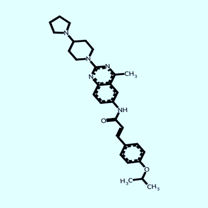 Cc1nc(N2CCC(N3CCCC3)CC2)nc2ccc(NC(=O)/C=C/c3ccc(OC(C)C)cc3)cc12